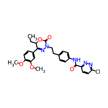 CCC1OC(=O)N(CCc2ccc(NC(=O)c3ccc(Cl)nn3)cc2)N=C1c1ccc(OC)c(OC)c1